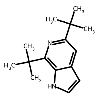 CC(C)(C)c1cc2cc[nH]c2c(C(C)(C)C)n1